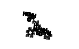 O=C(CCCCC[C@@H](NC(=O)c1cccnc1)C(=O)Nc1ccccc1)NO